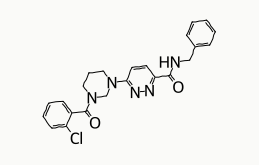 O=C(NCc1ccccc1)c1ccc(N2CCCN(C(=O)c3ccccc3Cl)C2)nn1